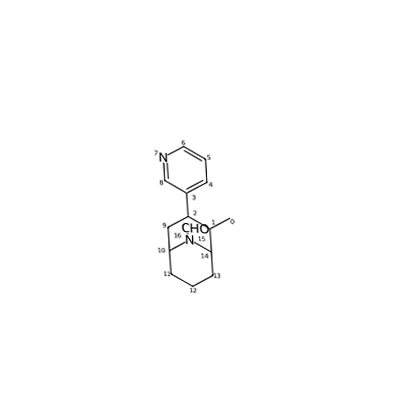 CC1C(c2cccnc2)CC2CCCC1N2C=O